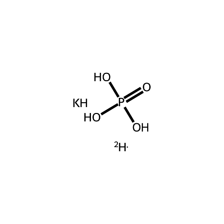 O=P(O)(O)O.[2H].[KH]